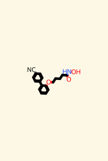 N#Cc1ccc(-c2ccccc2OCCCCC(=O)NO)cc1